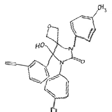 Cc1ccc(N2C(=O)N(c3ccc(Cl)cc3)C(O)(c3cccc(C#N)c3)C23COC3)cc1